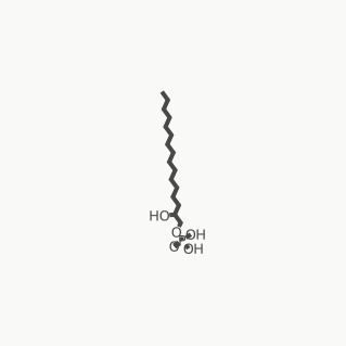 CCCCCCCCCCCCCCC(O)COP(=O)(O)O